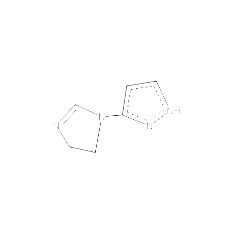 C1=NCCN1c1cc[nH]n1